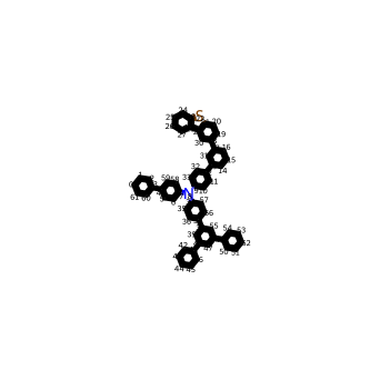 c1ccc(-c2ccc(N(c3ccc(-c4cccc(-c5ccc6sc7ccccc7c6c5)c4)cc3)c3ccc(-c4cc(-c5ccccc5)cc(-c5ccccc5)c4)cc3)cc2)cc1